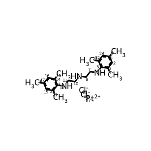 Cc1cc(C)c(NCCNCCNc2c(C)cc(C)cc2C)c(C)c1.[Cl-].[Cl-].[Pt+2]